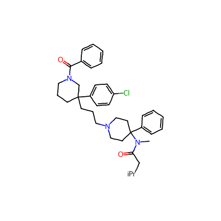 CC(C)CC(=O)N(C)C1(c2ccccc2)CCN(CCCC2(c3ccc(Cl)cc3)CCCN(C(=O)c3ccccc3)C2)CC1